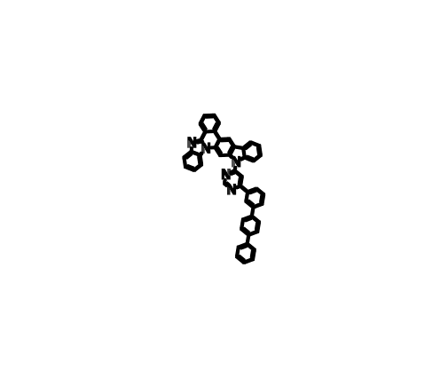 c1ccc(-c2ccc(-c3cccc(-c4cc(-n5c6ccccc6c6cc7c8ccccc8c8nc9ccccc9n8c7cc65)ncn4)c3)cc2)cc1